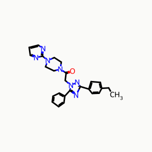 CCc1ccc(-c2nc(-c3ccccc3)n(CC(=O)N3CCN(c4ncccn4)CC3)n2)cc1